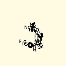 Cc1nc(C#N)c(NC(=O)Nc2cc(CNc3ncsc3C(=O)Nc3ccc(OC(F)(F)F)cc3)ccn2)o1